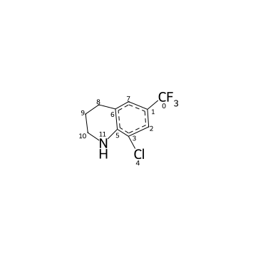 FC(F)(F)c1cc(Cl)c2c(c1)CCCN2